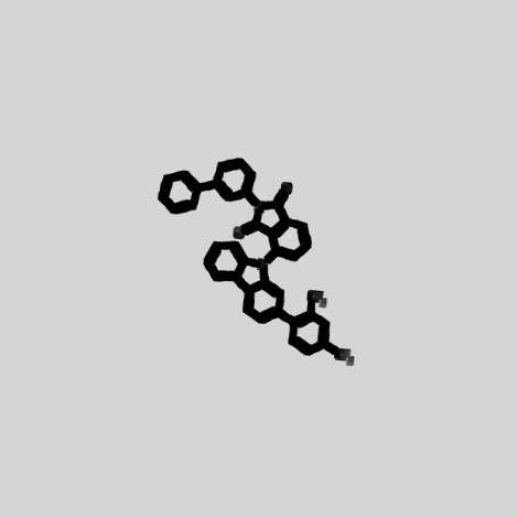 O=C1c2cccc(-n3c4ccccc4c4ccc(-c5ccc(C(F)(F)F)cc5C(F)(F)F)cc43)c2C(=O)N1c1cccc(-c2ccccc2)c1